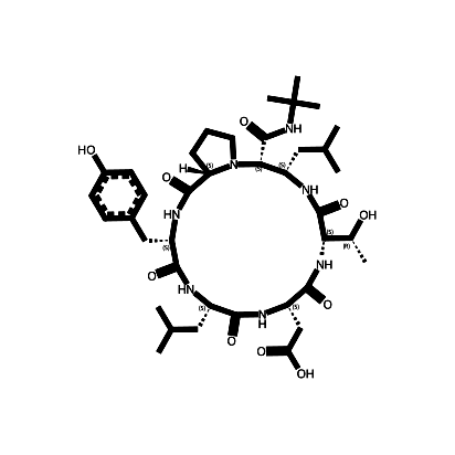 CC(C)C[C@@H]1NC(=O)[C@H](Cc2ccc(O)cc2)NC(=O)[C@@H]2CCCN2[C@H](C(=O)NC(C)(C)C)[C@H](CC(C)C)NC(=O)[C@H]([C@@H](C)O)NC(=O)[C@H](CC(=O)O)NC1=O